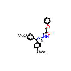 CCC(NC[C@H](O)COc1ccccc1)NC(c1ccc(OC)cc1)c1ccc(OC)cc1